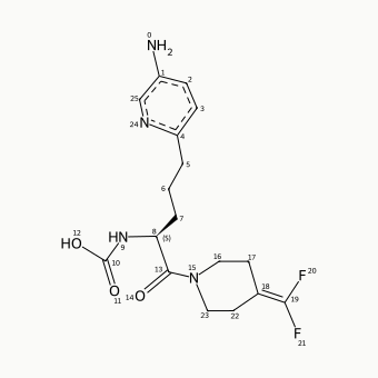 Nc1ccc(CCC[C@H](NC(=O)O)C(=O)N2CCC(=C(F)F)CC2)nc1